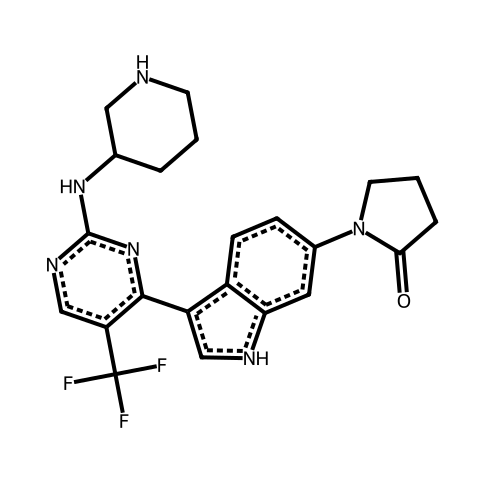 O=C1CCCN1c1ccc2c(-c3nc(NC4CCCNC4)ncc3C(F)(F)F)c[nH]c2c1